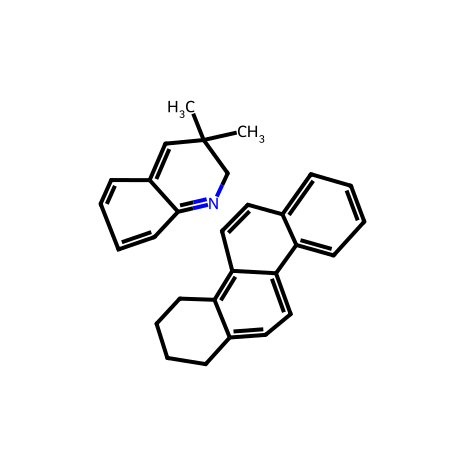 CC1(C)C=c2ccccc2=NC1.c1ccc2c(c1)ccc1c3c(ccc12)CCCC3